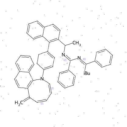 C=C1/C=C\C=C/N(C2=CC=C(c3c(C(C)/N=C(\N=C(\c4ccccc4)C(C)CC)c4ccccc4)ccc4ccccc34)CC2)c2c1ccc1ccccc21